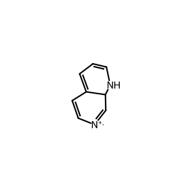 C1=CNC2C=[N+]C=CC2=C1